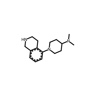 CN(C)C1CCN(c2cccc3c2CCNC3)CC1